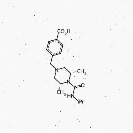 CC(C)NC(=O)N1[C@H](C)CN(Cc2ccc(C(=O)O)cc2)C[C@@H]1C